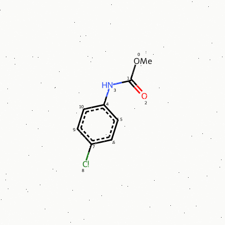 COC(=O)Nc1[c]cc(Cl)cc1